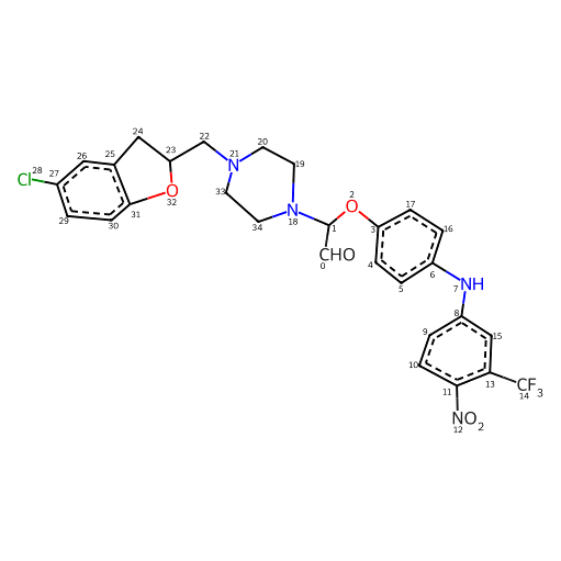 O=CC(Oc1ccc(Nc2ccc([N+](=O)[O-])c(C(F)(F)F)c2)cc1)N1CCN(CC2Cc3cc(Cl)ccc3O2)CC1